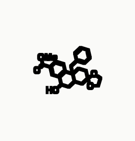 COC(=O)c1ccc2c(c1)C(O)CC1CC3(CCC21Cc1ccccc1)OCCO3